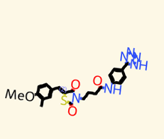 COc1ccc(/C=C2\SC(=O)N(CCCC(=O)Nc3ccc(-c4nnn[nH]4)cc3)C2=O)cc1C